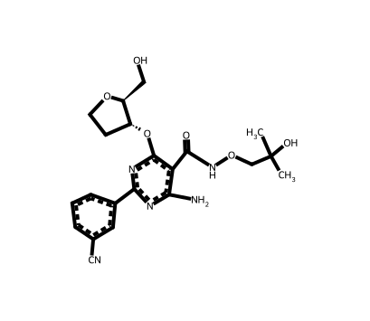 CC(C)(O)CONC(=O)c1c(N)nc(-c2cccc(C#N)c2)nc1O[C@@H]1CCO[C@H]1CO